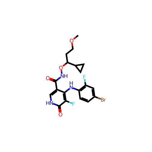 COCCC(ONC(=O)c1c[nH]c(=O)c(F)c1Nc1ccc(Br)cc1F)C1CC1